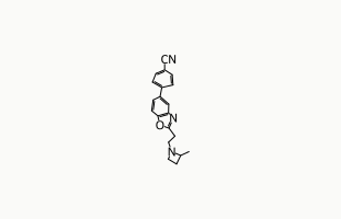 CC1CCN1CCc1nc2cc(-c3ccc(C#N)cc3)ccc2o1